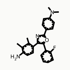 Cc1c(N)ccc(-c2nc(-c3ccc(N(C)C)cc3)oc2-c2ccccc2F)c1C